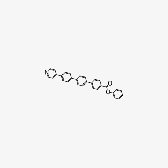 O=C(Oc1ccccc1)c1ccc(-c2ccc(-c3ccc(-c4ccncc4)cc3)cc2)cc1